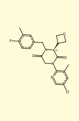 Cc1cc(CN2C(=O)CN(c3ncc(Cl)cc3C)C(=O)[C@@H]2C2COC2)ccc1F